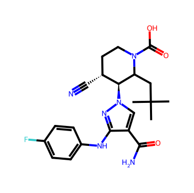 CC(C)(C)CC1[C@@H](n2cc(C(N)=O)c(Nc3ccc(F)cc3)n2)[C@H](C#N)CCN1C(=O)O